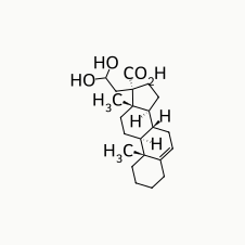 C[C@]12CCCCC1=CC[C@@H]1[C@@H]2CC[C@@]2(C)[C@H]1CC[C@@]2(CC(O)O)C(=O)O